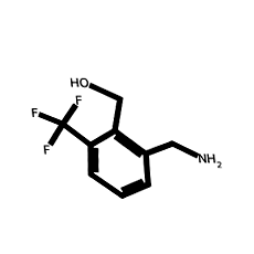 NCc1cccc(C(F)(F)F)c1CO